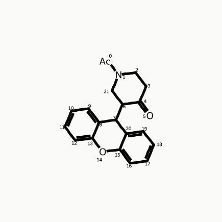 CC(=O)N1CCC(=O)C(C2c3ccccc3Oc3ccccc32)C1